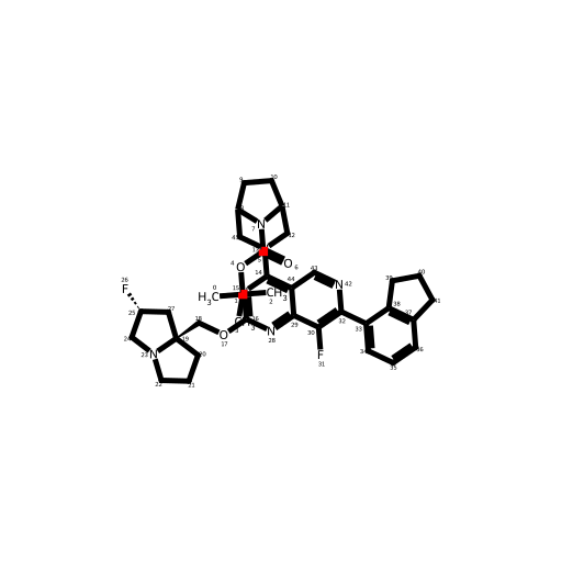 CC(C)(C)OC(=O)N1C2CCC1CN(c1nc(OC[C@@]34CCCN3C[C@H](F)C4)nc3c(F)c(-c4cccc5c4CCC5)ncc13)C2